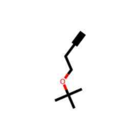 C#CCCOC(C)(C)C